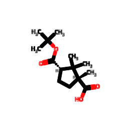 CC(C)(C)OC(=O)[C@H]1CC[C@@](C)(C(=O)O)C1(C)C